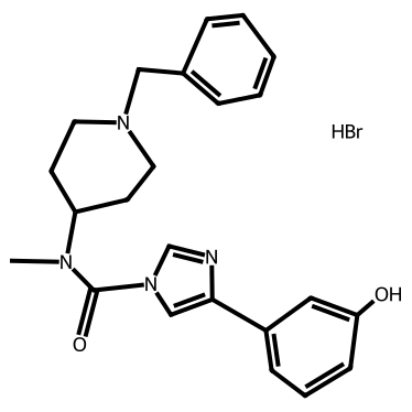 Br.CN(C(=O)n1cnc(-c2cccc(O)c2)c1)C1CCN(Cc2ccccc2)CC1